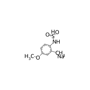 COc1ccc(N[SH](=O)=O)c(C)c1.[Na]